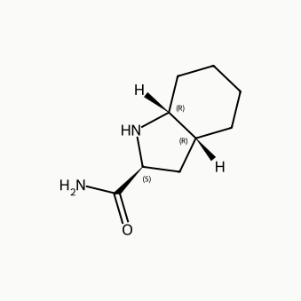 NC(=O)[C@@H]1C[C@H]2CCCC[C@H]2N1